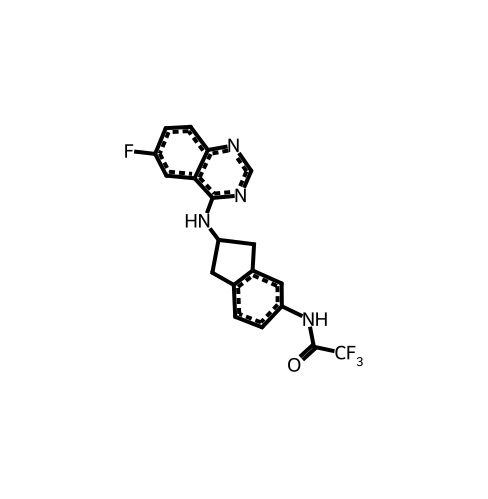 O=C(Nc1ccc2c(c1)CC(Nc1ncnc3ccc(F)cc13)C2)C(F)(F)F